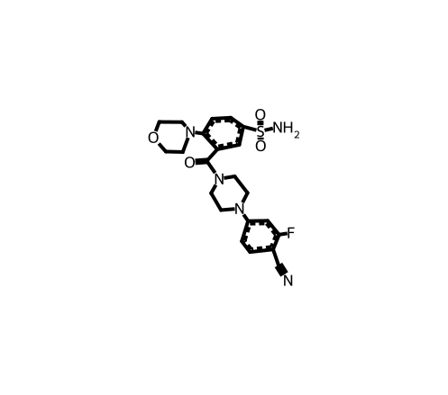 N#Cc1ccc(N2CCN(C(=O)c3cc(S(N)(=O)=O)ccc3N3CCOCC3)CC2)cc1F